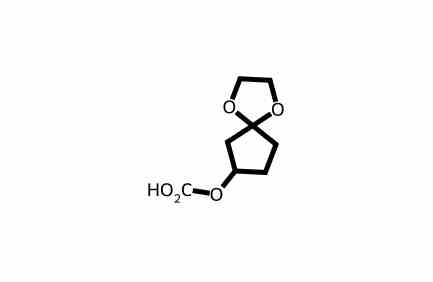 O=C(O)OC1CCC2(C1)OCCO2